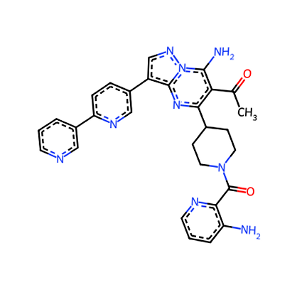 CC(=O)c1c(C2CCN(C(=O)c3ncccc3N)CC2)nc2c(-c3ccc(-c4cccnc4)nc3)cnn2c1N